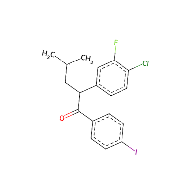 C[C](C)CC(C(=O)c1ccc(I)cc1)c1ccc(Cl)c(F)c1